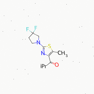 Cc1sc(N2CCC(F)(F)C2)nc1C(=O)C(C)C